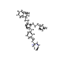 C#C/C=C\C(=C/C)COc1cccc(Cc2nnc(CCc3c[nH]c4ccccc34)n2CCCc2c[nH]cn2)c1